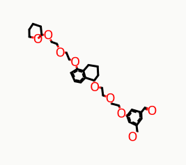 O=Cc1cc(C=O)cc(OCCOCCOC2CCCc3c(OCCOCCOC4CCCCO4)cccc32)c1